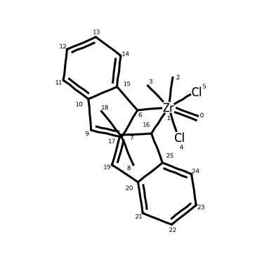 [CH2]=[Zr]([CH3])([CH3])([Cl])([Cl])([CH]1C(C)=Cc2ccccc21)[CH]1C(C)=Cc2ccccc21